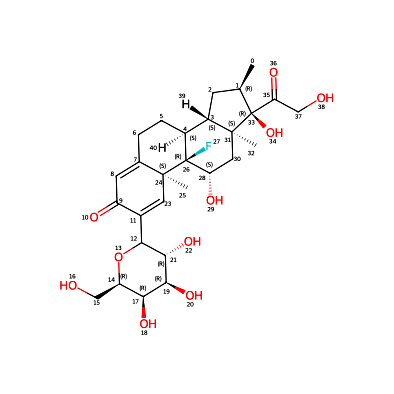 C[C@@H]1C[C@H]2[C@@H]3CCC4=CC(=O)C(C5O[C@H](CO)[C@H](O)[C@H](O)[C@H]5O)=C[C@]4(C)[C@@]3(F)[C@@H](O)C[C@]2(C)[C@@]1(O)C(=O)CO